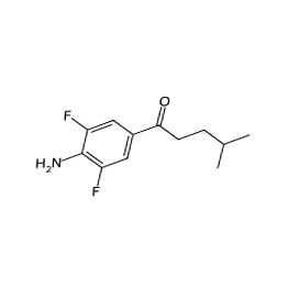 CC(C)CCC(=O)c1cc(F)c(N)c(F)c1